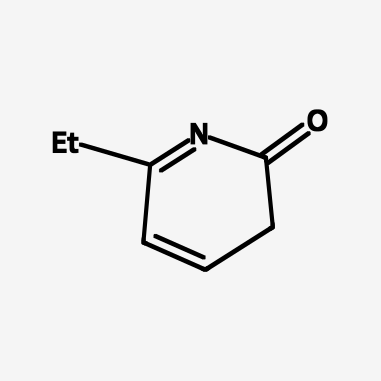 CCC1=NC(=O)CC=C1